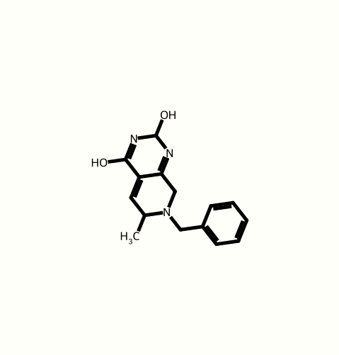 CC1C=C2C(O)=NC(O)N=C2CN1Cc1ccccc1